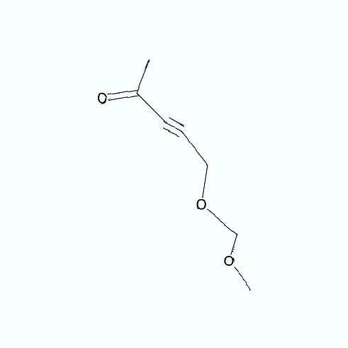 COCOCC#CC(C)=O